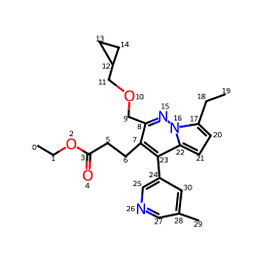 CCOC(=O)CCc1c(COCC2CC2)nn2c(CC)ccc2c1-c1cncc(C)c1